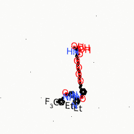 CCN(CC)c1ccc(NC(=O)c2cccc(CCCOCCOCCOCCOCCC(=O)NC(CO)(CO)CO)c2)c(-c2cc(C(=O)NCc3cccc(C(F)(F)F)c3)ccn2)c1